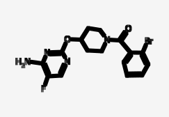 Nc1nc(OC2CCN(C(=O)c3ccccc3Br)CC2)ncc1F